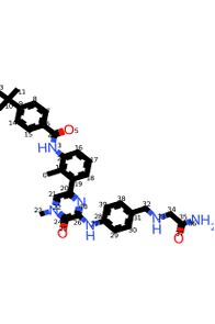 Cc1c(NC(=O)c2ccc(C(C)(C)C)cc2)cccc1-c1cn(C)c(=O)c(Nc2ccc(CNCC(N)=O)cc2)n1